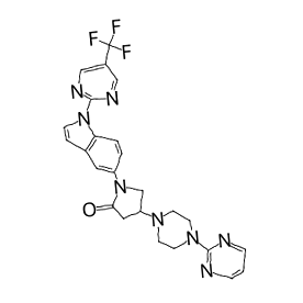 O=C1CC(N2CCN(c3ncccn3)CC2)CN1c1ccc2c(ccn2-c2ncc(C(F)(F)F)cn2)c1